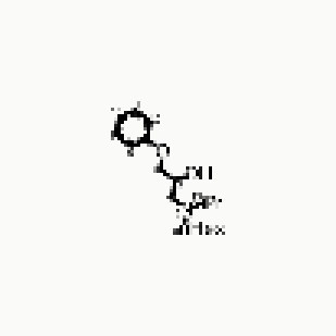 [CH2]CCCCCN(CC(O)COc1ccccc1)C(C)C